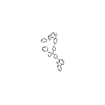 c1ccc(-c2cccc(N(c3ccc(-c4ccc5oc6ccc7nc(-c8ccccc8)oc7c6c5c4)cc3)c3ccc(-c4cccc5c4sc4ccccc45)cc3)c2)cc1